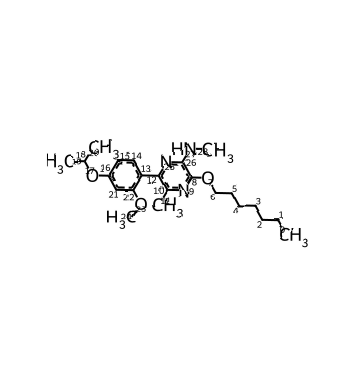 CCCCCCCOc1nc(C)c(-c2ccc(OC(C)C)cc2OC)nc1NC